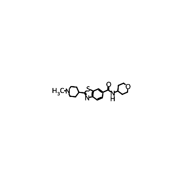 CN1CCC(c2nc3ccc(C(=O)NC4CCOCC4)cc3s2)CC1